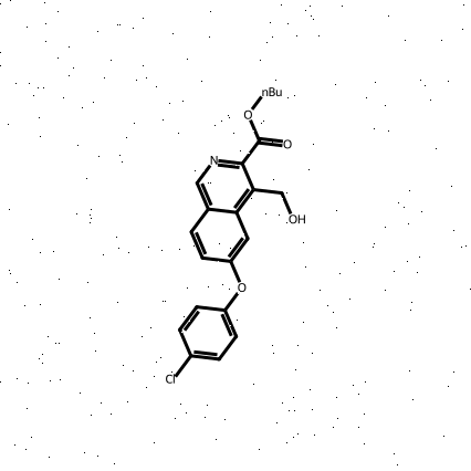 CCCCOC(=O)c1ncc2ccc(Oc3ccc(Cl)cc3)cc2c1CO